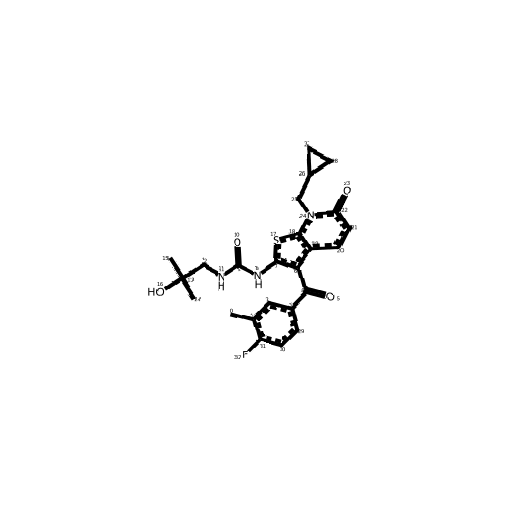 Cc1cc(C(=O)c2c(NC(=O)NCC(C)(C)O)sc3c2ccc(=O)n3CC2CC2)ccc1F